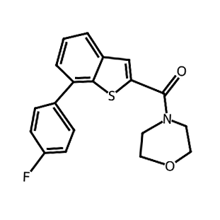 O=C(c1cc2cccc(-c3ccc(F)cc3)c2s1)N1CCOCC1